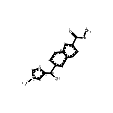 CNC(=O)c1ccc2cc(C(O)c3cn(C)cn3)ccc2c1